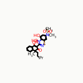 CC(C)CC[C@@]1(C)C(=O)C(C2=NSc3cc(N(C)S(C)(=O)=O)cc(O)c3N2O)=C(O)c2ccccc21